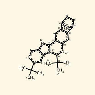 CC(C)(C)c1cc2c(cn1)nc1c3cc4c5ccc(o5)c4cc3nc(C(C)(C)C)n21